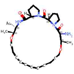 CC(=O)[C@@H]1NC(=O)[C@@H]2CCCN2C(=O)[C@@H]2CCCN2C(=O)[C@@H](N)[C@@H](C)OCCCCCCCCCCCO[C@H]1C